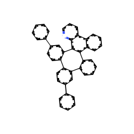 c1ccc(-c2ccc3c(c2)-c2ccccc2-c2c(c4ncccc4c4ccccc24)-c2cc(-c4ccccc4)ccc2-3)cc1